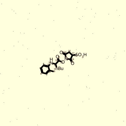 CCCCC(Nc1ccccc1C)C(=O)ON1C(=O)CC(S(=O)(=O)O)C1=O